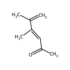 C=C(C)C(C)=CC(C)=O